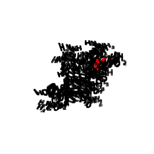 CC(C)[C@H](NC(=O)[C@H](CO)NC(=O)[C@H](CCCNC(=N)N)NC(=O)[C@H](C)NC(=O)[C@H](CCCNC(=N)N)NC(=O)[C@H](CCCNC(=N)N)NC(=O)[C@@H]1CCCN1C(=O)[C@H](CO)NC(=O)[C@H](CC(N)=O)NC(=O)[C@@H](NC(=O)[C@H](CCC(N)=O)NC(=O)[C@@H](NC(=O)[C@H](CCC(N)=O)NC(=O)[C@H](Cc1ccc(O)cc1)NC(=O)[C@H](CO)NC(=O)[C@H](C)N)[C@@H](C)O)[C@@H](C)O)C(=O)N[C@@H](C)C(=O)[Se]N[C@@H](CCC(N)=O)C(=O)N[C@@H](CO)C(=O)O